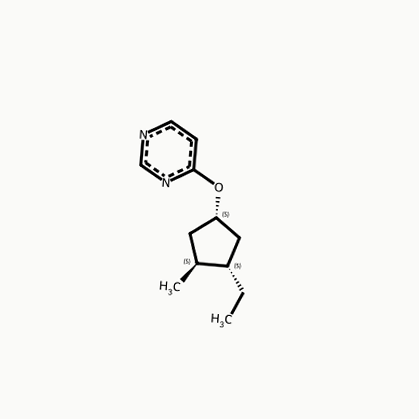 CC[C@H]1C[C@@H](Oc2ccncn2)C[C@@H]1C